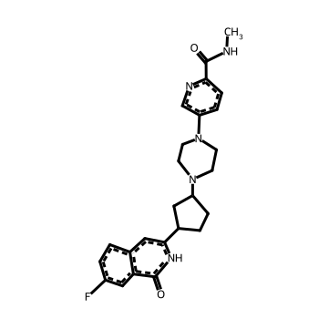 CNC(=O)c1ccc(N2CCN(C3CCC(c4cc5ccc(F)cc5c(=O)[nH]4)C3)CC2)cn1